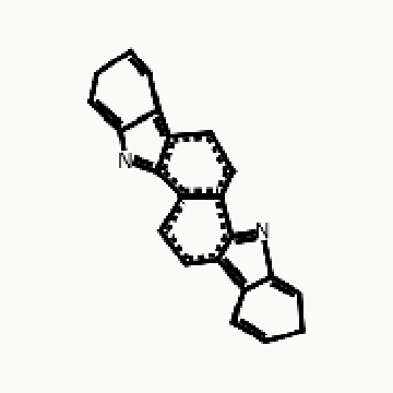 C1=CC2=c3ccc4c5c(ccc4c3=NC2=CC1)=C1C=CCC=C1N=5